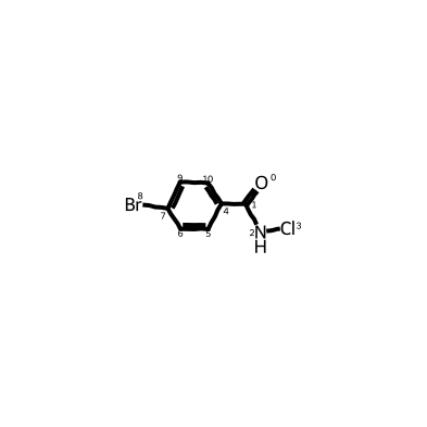 O=C(NCl)c1ccc(Br)cc1